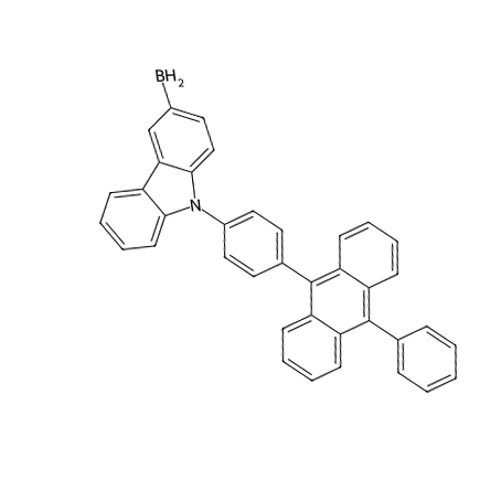 Bc1ccc2c(c1)c1ccccc1n2-c1ccc(-c2c3ccccc3c(-c3ccccc3)c3ccccc23)cc1